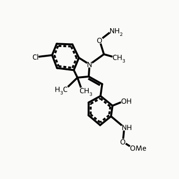 COONc1cccc(/C=C2/N(C(C)ON)c3ccc(Cl)cc3C2(C)C)c1O